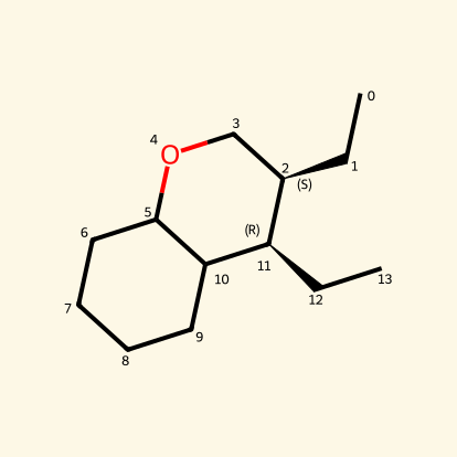 CC[C@@H]1COC2CCCCC2[C@@H]1CC